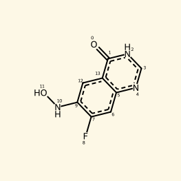 O=c1[nH]cnc2cc(F)c(NO)cc12